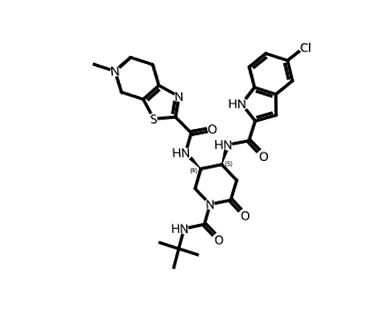 CN1CCc2nc(C(=O)N[C@@H]3CN(C(=O)NC(C)(C)C)C(=O)C[C@@H]3NC(=O)c3cc4cc(Cl)ccc4[nH]3)sc2C1